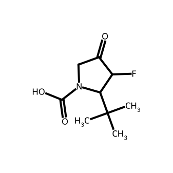 CC(C)(C)C1C(F)C(=O)CN1C(=O)O